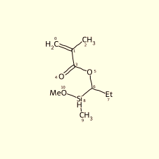 C=C(C)C(=O)OC(CC)[SiH](C)OC